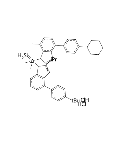 CC1=Cc2c(-c3ccc(C4CCCCC4)cc3)ccc(C)c2[CH]1[Zr]([CH3])([CH3])(=[SiH2])[CH]1C(C(C)C)=Cc2c(-c3ccc(C(C)(C)C)cc3)cccc21.Cl.Cl